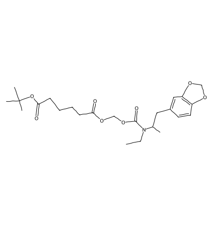 CCN(C(=O)OCOC(=O)CCCCC(=O)OC(C)(C)C)C(C)Cc1ccc2c(c1)OCO2